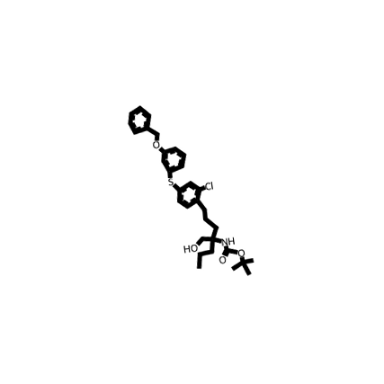 CCCC(CO)(CCCc1ccc(Sc2cccc(OCc3ccccc3)c2)cc1Cl)NC(=O)OC(C)(C)C